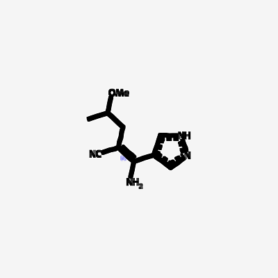 COC(C)C/C(C#N)=C(/N)c1cn[nH]c1